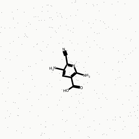 N#Cc1nc(N)c(C(=O)O)cc1N